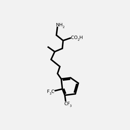 CC(CCCc1cccc(C(F)(F)F)c1C(F)(F)F)CC(CN)C(=O)O